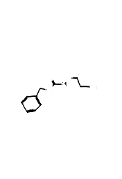 CC(C)C[C@@H](ONC(=O)OCc1ccccc1)C(=O)O